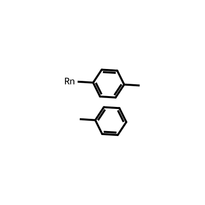 Cc1ccc(C)cc1.Cc1ccccc1.[Rn]